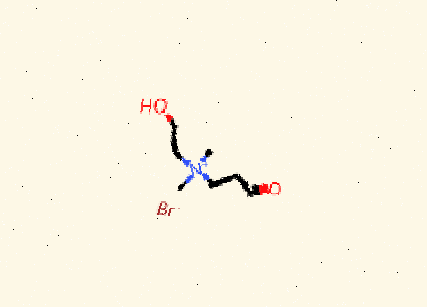 C[N+](C)(CCO)CCC=O.[Br-]